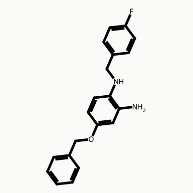 Nc1cc(OCc2ccccc2)ccc1NCc1ccc(F)cc1